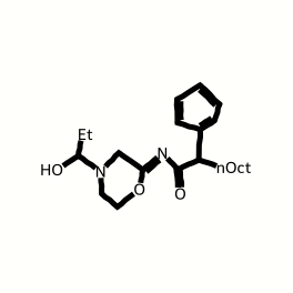 CCCCCCCCC(C(=O)/N=C1/CN(C(O)CC)CCO1)c1ccccc1